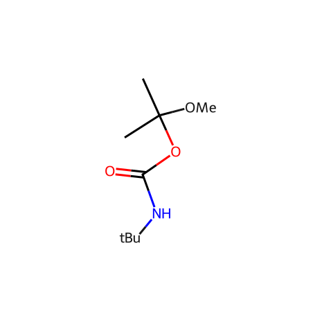 COC(C)(C)OC(=O)NC(C)(C)C